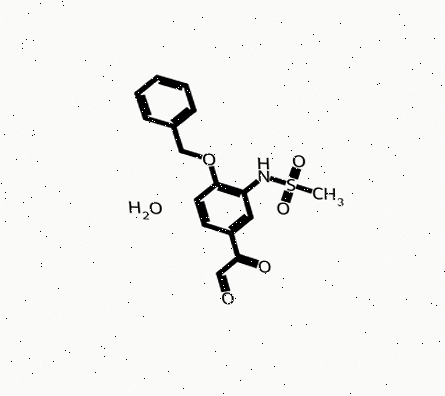 CS(=O)(=O)Nc1cc(C(=O)C=O)ccc1OCc1ccccc1.O